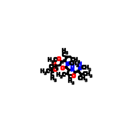 CC[C@H](C)[C@@H]([C@@H](CC(=O)OC(C)(C)C)OC)N(C)C(=O)C(NC(=O)[C@@H](NC)C(C)C)C(C)C